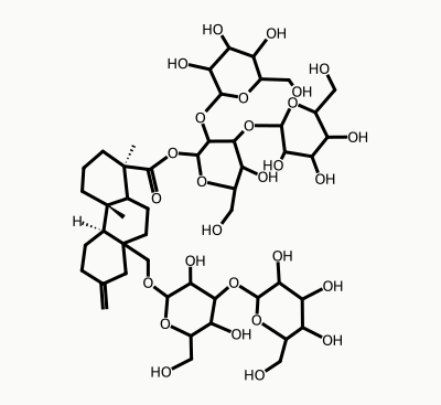 C=C1CC[C@@H]2C(COC3OC(CO)C(O)C(OC4OC(CO)C(O)C(O)C4O)C3O)(CCC3[C@](C)(C(=O)OC4OC(CO)C(O)C(OC5OC(CO)C(O)C(O)C5O)C4OC4OC(CO)C(O)C(O)C4O)CCC[C@]32C)C1